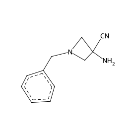 N#CC1(N)CN(Cc2ccccc2)C1